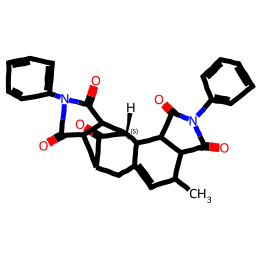 CC1C=C2CC3C(=O)[C@H](C4C(=O)N(c5ccccc5)C(=O)C34)C2C2C(=O)N(c3ccccc3)C(=O)C12